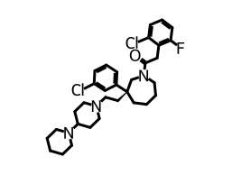 O=C(Cc1c(F)cccc1Cl)N1CCCC[C@](CCN2CCC(N3CCCCC3)CC2)(c2cccc(Cl)c2)C1